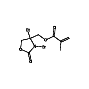 C=C(C)C(=O)OCC1(CC)COC(=O)N1Br